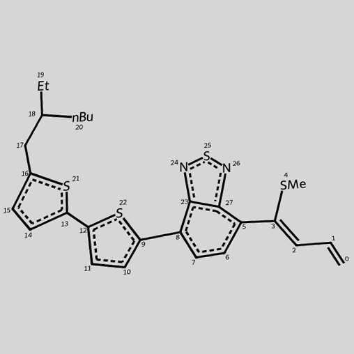 C=C/C=C(\SC)c1ccc(-c2ccc(-c3ccc(CC(CC)CCCC)s3)s2)c2nsnc12